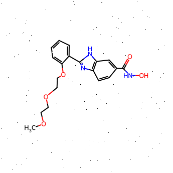 COCCOCCOc1ccccc1-c1nc2ccc(C(=O)NO)cc2[nH]1